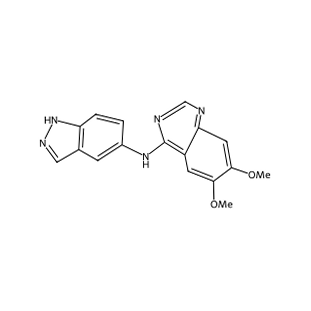 COc1cc2ncnc(Nc3ccc4[nH]ncc4c3)c2cc1OC